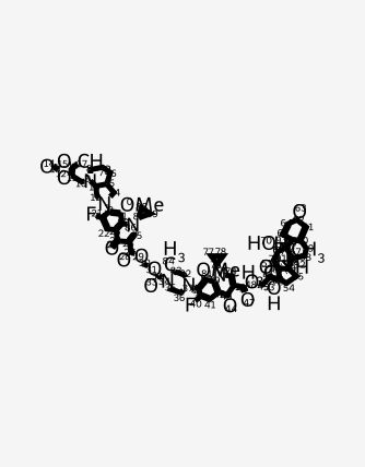 COc1c(N2CC3CCCN(Cc4oc(=O)oc4C)C3C2)c(F)cc2c(=O)c(C(=O)OCOC(=O)N3CCN(c4c(F)cc5c(=O)c(C(=O)OCC(=O)[C@@]6(O)CC[C@H]7[C@@H]8CCC9=CC(=O)C=C[C@]9(C)[C@H]8[C@@H](O)C[C@@]76C)cn(C6CC6)c5c4OC)CC3C)cn(C3CC3)c12